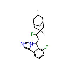 CC1CC2CC(C1)CC(C)(C(F)CC1c3c(F)cccc3-c3cncn31)C2